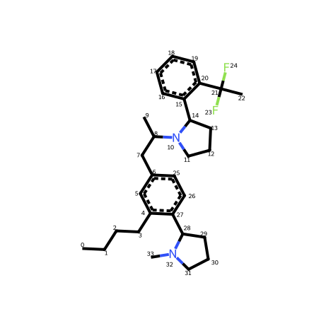 CCCCc1cc(CC(C)N2CCCC2c2ccccc2C(C)(F)F)ccc1C1CCCN1C